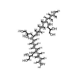 OCC(O)CNB(B(I)B(I)B(I)B(I)BI)B(I)B(I)B(I)B(I)B(I)BN(BB(I)B(I)B(I)B(I)B(I)B(NCC(O)CO)B(I)B(I)B(I)B(I)BI)CC(O)CO